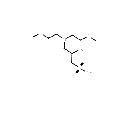 COCCN(CCOC)CC(O)CS(=O)(=O)O